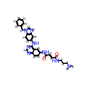 CN(C)CCCNC(=O)C=CC(=O)Nc1ccc2ncnc(Nc3ccc4c(c3)ncn4Cc3ccccc3)c2c1